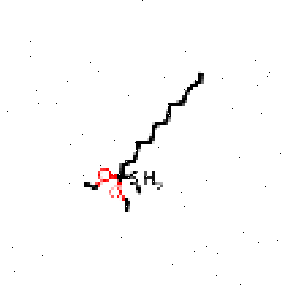 CCCCCCCCCCCC(OCC)(OCC)[SiH2]C